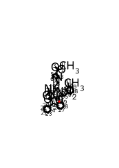 COC(=O)c1ccn(CCCC(C(N)=O)N(C(=O)C(c2ccccc2)c2ccccc2)C(=O)[C@@H](N)Cc2cccc(C)c2)n1